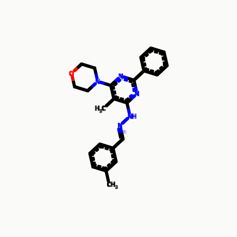 Cc1cccc(/C=N/Nc2nc(-c3ccccc3)nc(N3CCOCC3)c2C)c1